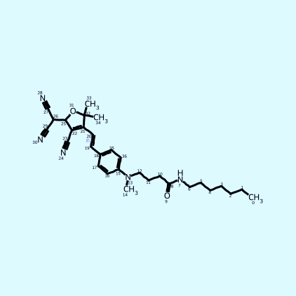 CCCCCCCNC(=O)CCCN(C)c1ccc(/C=C/C2=C(C#N)C(C(C#N)C#N)OC2(C)C)cc1